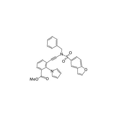 COC(=O)c1cccc(C#CN(Cc2ccccc2)S(=O)(=O)c2ccc3occc3c2)c1-n1cccc1